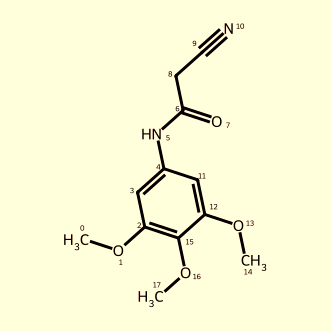 COc1cc(NC(=O)CC#N)cc(OC)c1OC